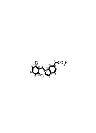 O=C(O)Cc1ccc2ccn(Cc3c(Cl)cccc3Cl)c2c1